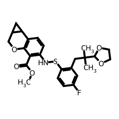 COC(=O)c1c(NSc2ccc(F)cc2CC(C)(C)C2OCCO2)ccc2c1OCC1CC21